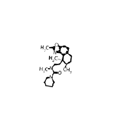 Cc1nc2c3c(ccc2o1)CC[C@@H](C)[C@@]3(C)CCN(C)C(=O)N1CCCCC1